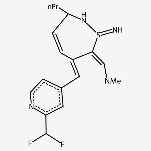 CCCC1C=CC(=C\c2ccnc(C(F)F)c2)/C(=C\NC)S(=N)N1